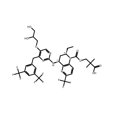 CC[C@@H]1C[C@H](Nc2ncc(OCC(O)CO)c(Cc3cc(C(F)(F)F)cc(C(F)(F)F)c3)n2)c2nc(C(F)(F)F)ccc2N1C(=O)OCC(C)(C)C(=O)O